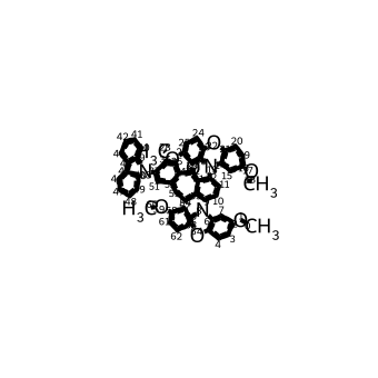 COc1ccc2c(c1)N(c1ccc(N3c4cc(OC)ccc4Oc4ccc(OC)cc43)c3c(=O)c4ccc(-n5c6ccccc6c6ccccc65)cc4ccc13)c1cc(OC)ccc1O2